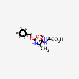 C[C@@H](NC(=O)OCc1ccccc1)C(=O)NCC(=O)O